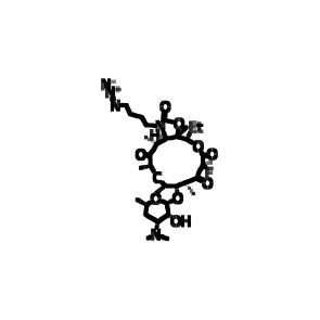 CC[C@H]1OC(=O)[C@@](C)(F)C(=O)[C@H](C)[C@@H](O[C@@H]2O[C@H](C)C[C@H](N(C)C)[C@H]2O)[C@@H](C)C[C@@H](C)C(=O)[C@H](C)[C@H]2N(CCCCN=[N+]=[N-])C(=O)O[C@]12C